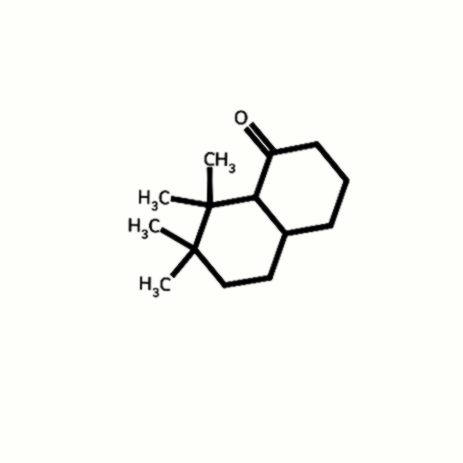 CC1(C)CCC2CCCC(=O)C2C1(C)C